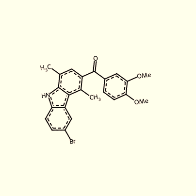 COc1ccc(C(=O)c2cc(C)c3[nH]c4ccc(Br)cc4c3c2C)cc1OC